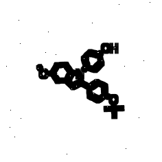 COC1CCc2c(cc(-c3ccc(OC(C)(C)C)cc3)n2-c2ccc(O)cc2)C1